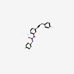 CN1C(=O)/C(=C\c2ccc(F)c(F)c2)C(=O)c2cc(C#CCc3ccc(F)cc3)ccc21